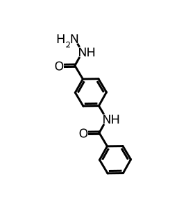 NNC(=O)c1ccc(NC(=O)c2ccccc2)cc1